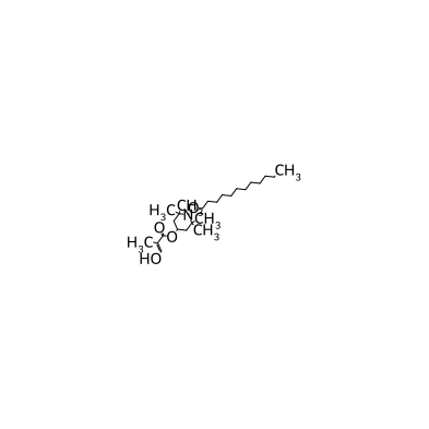 CCCCCCCCCCCCON1C(C)(C)CC(OC(=O)C(C)=CO)CC1(C)C